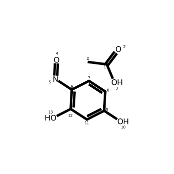 CC(=O)O.O=Nc1ccc(O)cc1O